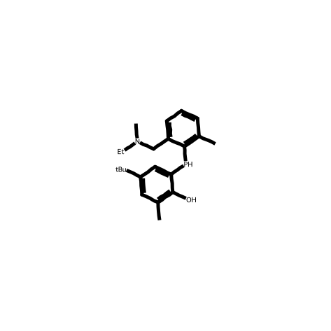 CCN(C)Cc1cccc(C)c1Pc1cc(C(C)(C)C)cc(C)c1O